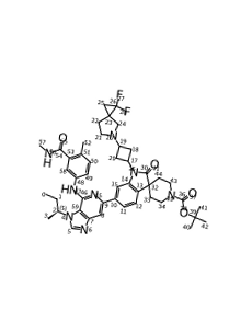 CC[C@H](C)n1cnc2cc(-c3ccc4c(c3)N(C3CC(N5CCC6(C5)CC6(F)F)C3)C(=O)C43CCN(C(=O)OC(C)(C)C)CC3)nc(Nc3ccc(C)c(C(=O)NC)c3)c21